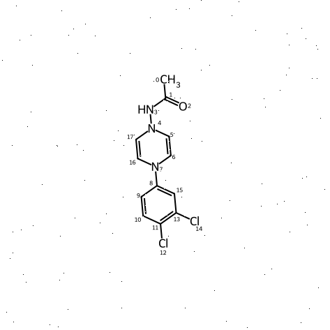 CC(=O)NN1C=CN(c2ccc(Cl)c(Cl)c2)C=C1